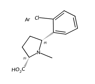 CN1[C@@H](c2ccccc2Cl)CC[C@H]1C(=O)O.[Ar]